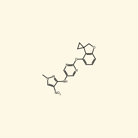 Cn1cc([N+](=O)[O-])c(Nc2cnc(Oc3cccc4c3C3(CC3)CO4)nc2)n1